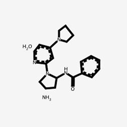 N.O.O=C(NC1CCCN1c1cc(N2CCCC2)ccn1)c1ccccc1